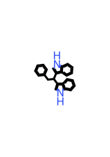 c1ccc(CC(c2c[nH]c3ccccc23)c2c[nH]c3ccccc23)cc1